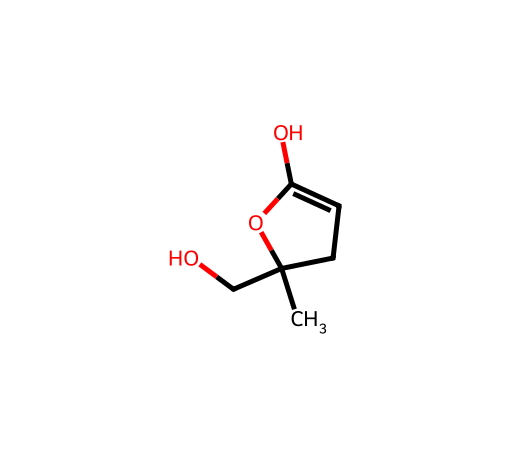 CC1(CO)CC=C(O)O1